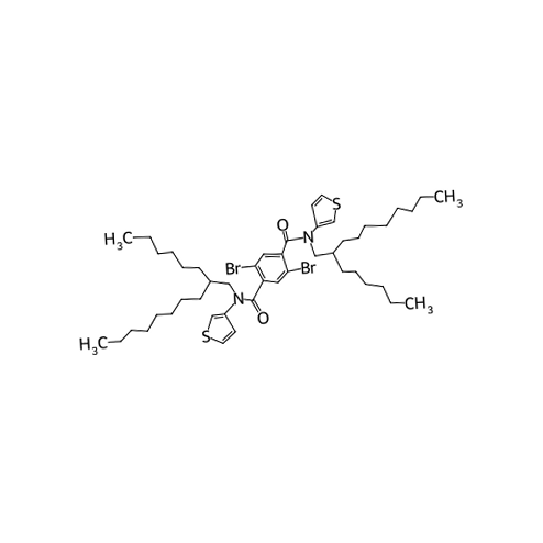 CCCCCCCCC(CCCCCC)CN(C(=O)c1cc(Br)c(C(=O)N(CC(CCCCCC)CCCCCCCC)c2ccsc2)cc1Br)c1ccsc1